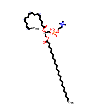 CCCCC/C=C\C/C=C\C/C=C\C/C=C\CCCC(=O)O[C@H](COC(=O)CCCCCCCCCCCCCCCCCCCCCCCCCCCCCCC)COP(=O)(O)OCC[N+](C)(C)C